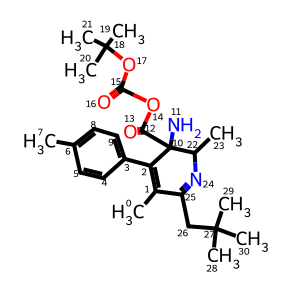 CC1=C(c2ccc(C)cc2)C(N)(C(=O)OC(=O)OC(C)(C)C)C(C)N=C1CC(C)(C)C